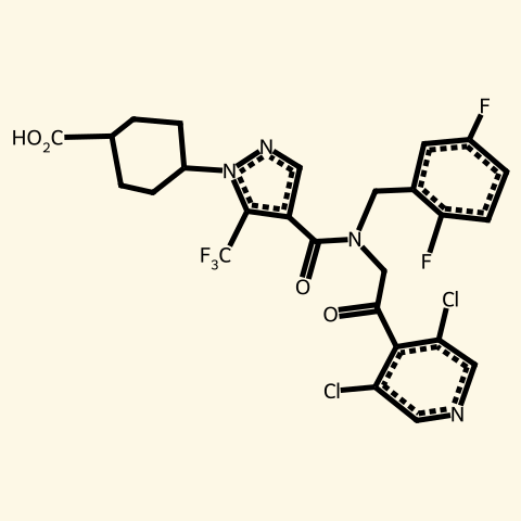 O=C(CN(Cc1cc(F)ccc1F)C(=O)c1cnn(C2CCC(C(=O)O)CC2)c1C(F)(F)F)c1c(Cl)cncc1Cl